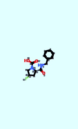 O=C(NCc1ccccc1)[C@@H]1C[C@@H](F)CN1C(=O)O